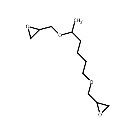 [CH2]C(CCCCOCC1CO1)OCC1CO1